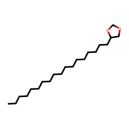 CCCCCCCCCCCCCCCCCCC1COCO1